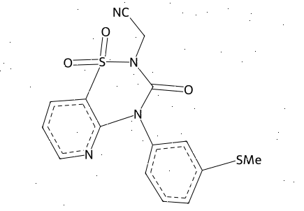 CSc1cccc(N2C(=O)N(CC#N)S(=O)(=O)c3cccnc32)c1